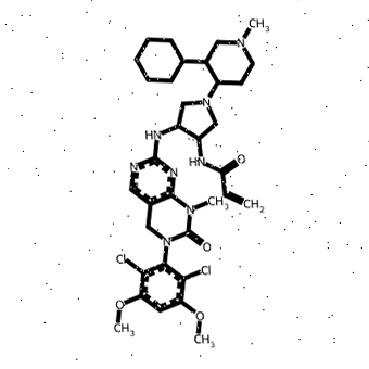 C=CC(=O)NC1CN(C2CCN(C)CC2C2CCCCC2)CC1Nc1ncc2c(n1)N(C)C(=O)N(c1c(Cl)c(OC)cc(OC)c1Cl)C2